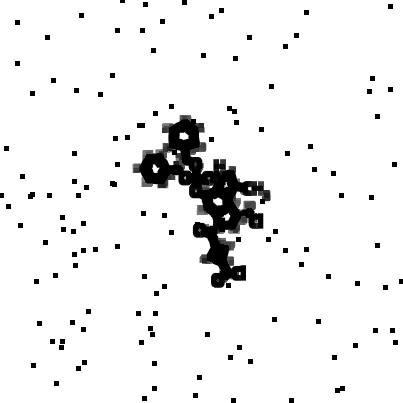 Cc1c[nH]c2c(OP(=O)(OCc3ccccc3)OCc3ccccc3)cc3c(c12)[C@H](CCl)CN3C(=O)C12CC(C(=O)Cl)(C1)C2